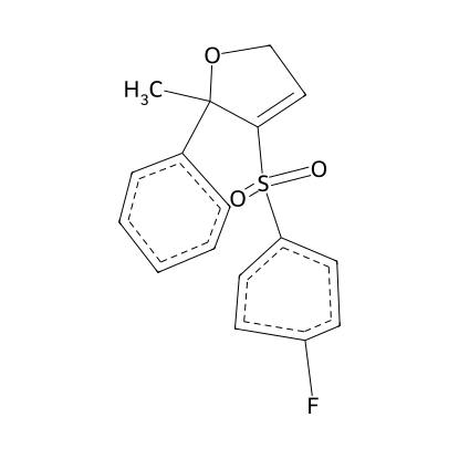 CC1(c2ccccc2)OCC=C1S(=O)(=O)c1ccc(F)cc1